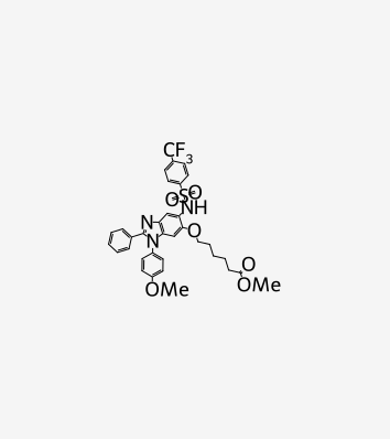 COC(=O)CCCCCOc1cc2c(cc1NS(=O)(=O)c1ccc(C(F)(F)F)cc1)nc(-c1ccccc1)n2-c1ccc(OC)cc1